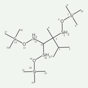 CC(C)C(C)([SiH2]O[Si](C)(C)C)[C]([SiH2]O[Si](C)(C)C)[SiH2]O[Si](C)(C)C